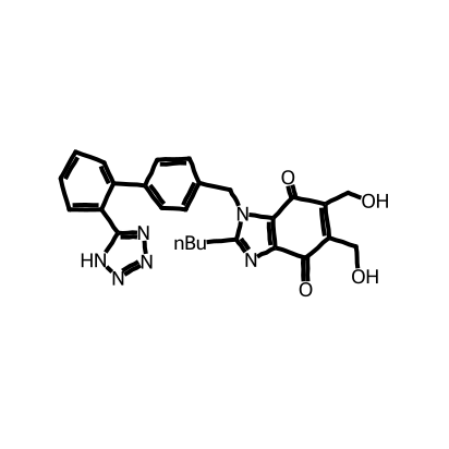 CCCCc1nc2c(n1Cc1ccc(-c3ccccc3-c3nnn[nH]3)cc1)C(=O)C(CO)=C(CO)C2=O